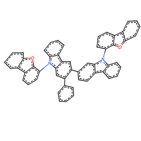 c1ccc(-c2cc3c(cc2-c2ccc4c5ccccc5n(-c5cccc6c5oc5ccccc56)c4c2)c2ccccc2n3-c2cccc3c2oc2ccccc23)cc1